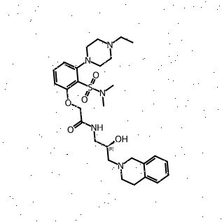 CCN1CCN(c2cccc(OCC(=O)NC[C@@H](O)CN3CCc4ccccc4C3)c2S(=O)(=O)N(C)C)CC1